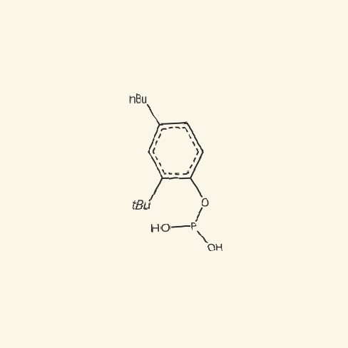 CCCCc1ccc(OP(O)O)c(C(C)(C)C)c1